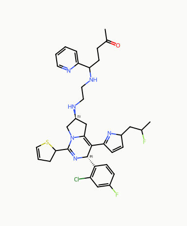 CC(=O)CCC(NCCN[C@H]1CC2=C(C3=NC(CC(C)F)C=C3)[C@H](c3ccc(F)cc3Cl)N=C(C3CC=CS3)N2C1)c1ccccn1